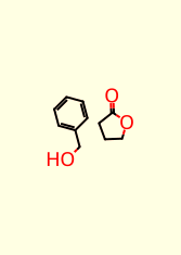 O=C1CCCO1.OCc1ccccc1